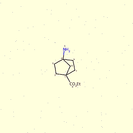 CCOC(=O)C12CCC(N)(CC1)C2